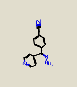 N#Cc1ccc(C(=NN)c2ccncc2)cc1